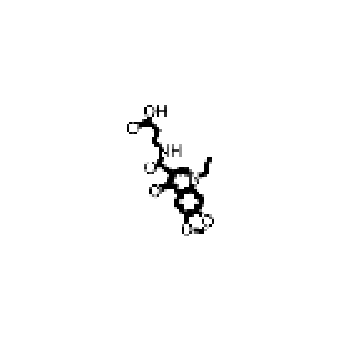 CCn1cc(C(=O)NCCC(=O)O)c(=O)c2cc3c(cc21)OCO3